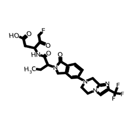 CCC(C(=O)NC(CC(=O)O)C(=O)CF)N1Cc2cc(N3CCn4cc(C(F)(F)F)nc4C3)ccc2C1=O